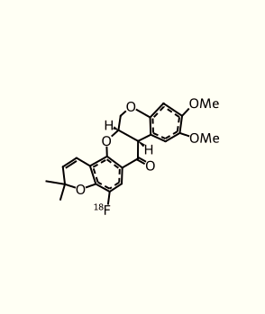 COc1cc2c(cc1OC)[C@@H]1C(=O)c3cc([18F])c4c(c3O[C@@H]1CO2)C=CC(C)(C)O4